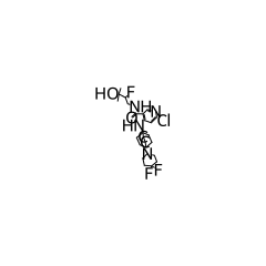 CC(C)(O)C(F)CNC(=O)c1cnc(Cl)cc1NC12CCC(N3CCC(F)(F)CC3)(CC1)CC2